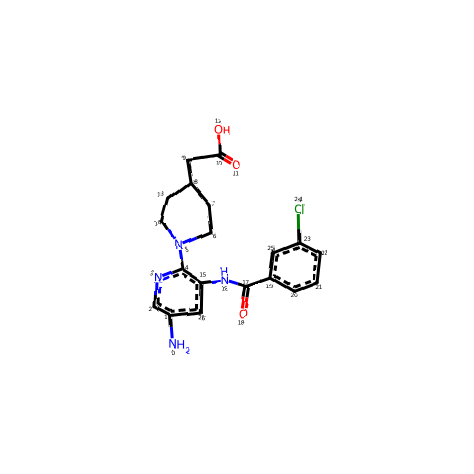 Nc1cnc(N2CCC(CC(=O)O)CC2)c(NC(=O)c2cccc(Cl)c2)c1